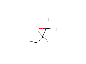 CC1(C)OC1(C)CCl